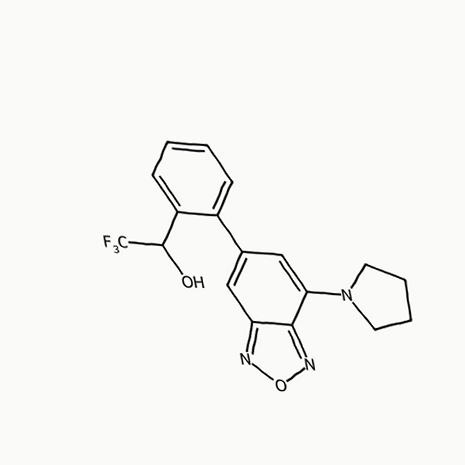 OC(c1ccccc1-c1cc(N2CCCC2)c2nonc2c1)C(F)(F)F